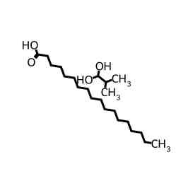 CC(C)C(O)O.CCCCCCCCCCCCCCCCCC(=O)O